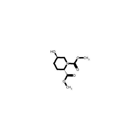 COC(=O)[C@@H]1CC[C@@H](O)CN1C(=O)OC